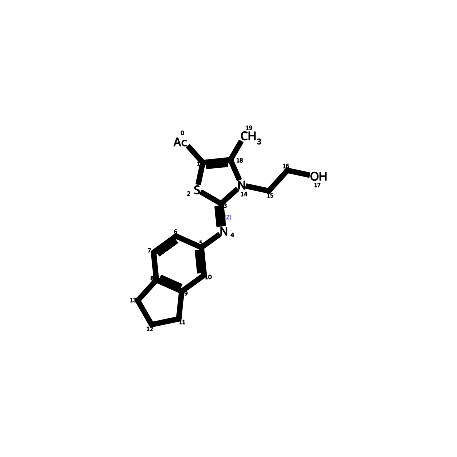 CC(=O)c1s/c(=N\c2ccc3c(c2)CCC3)n(CCO)c1C